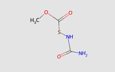 COC(=O)SNC(N)=O